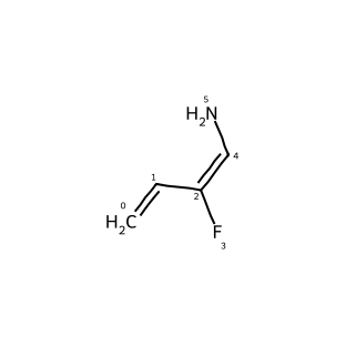 C=C/C(F)=C\N